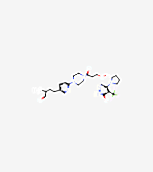 CC(C=O)CCc1ccc(N2CCN(C(=O)CCOC[C@@H]3CCCN3c3cn[nH]c(=O)c3C(F)(F)F)CC2)nc1